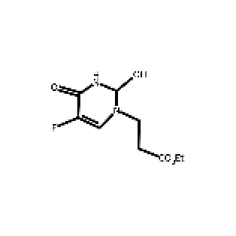 CCOC(=O)CCN1C=C(F)C(=O)NC1O